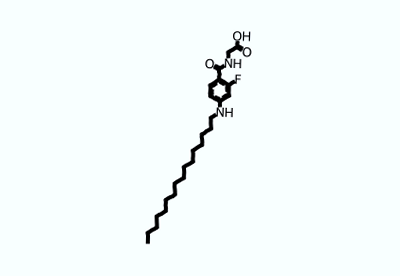 CCCCCCCCCCCCCCCCNc1ccc(C(=O)NCC(=O)O)c(F)c1